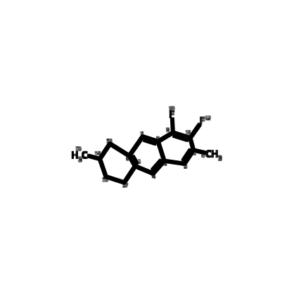 Cc1cc2cc3c(cc2c(F)c1F)CC(C)CC3